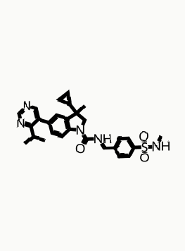 CNS(=O)(=O)c1ccc(CNC(=O)N2CC(C)(C3CC3)c3cc(-c4cncnc4C(C)C)ccc32)cc1